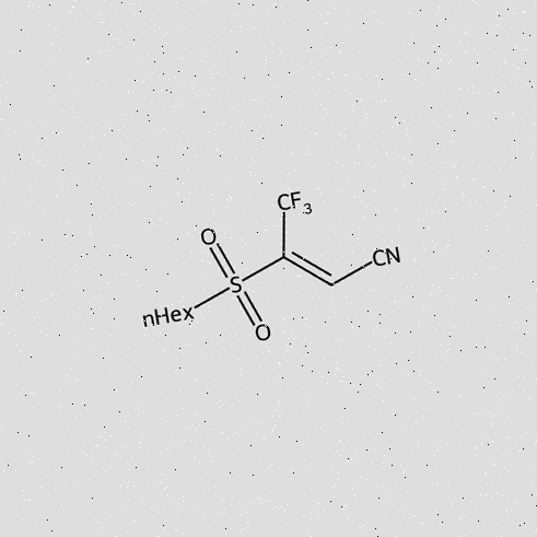 CCCCCCS(=O)(=O)C(=CC#N)C(F)(F)F